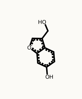 OCc1coc2cc(O)ccc12